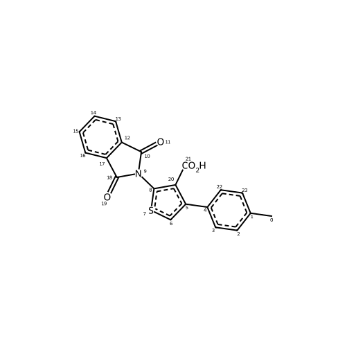 Cc1ccc(-c2csc(N3C(=O)c4ccccc4C3=O)c2C(=O)O)cc1